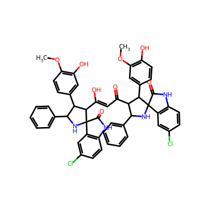 COc1ccc(C2C(c3ccccc3)NC3(C(=O)Nc4ccc(Cl)cc43)C2C(O)=CC(=O)C2C(c3ccccc3)NC3(C(=O)Nc4ccc(Cl)cc43)C2c2ccc(O)c(OC)c2)cc1O